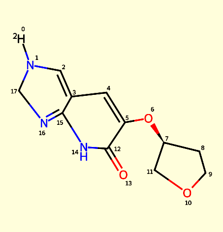 [2H]N1C=c2cc(O[C@H]3CCOC3)c(=O)[nH]c2=NC1